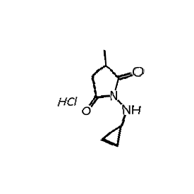 CC1CC(=O)N(NC2CC2)C1=O.Cl